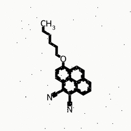 CCCCCCOc1ccc2c(C#N)c(C#N)c3cccc4ccc1c2c43